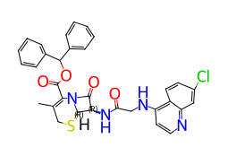 CC1=C(C(=O)OC(c2ccccc2)c2ccccc2)N2C(=O)[C@@H](NC(=O)CNc3ccnc4cc(Cl)ccc34)[C@H]2SC1